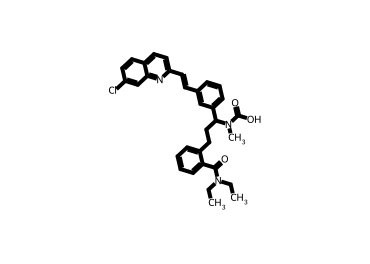 CCN(CC)C(=O)c1ccccc1CCC(c1cccc(C=Cc2ccc3ccc(Cl)cc3n2)c1)N(C)C(=O)O